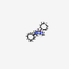 O=C(C1CCCCCCCCC1)N1CCC[C@H]1c1cc(C2CCCCCCCCC2)n[nH]1